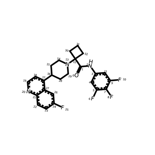 O=C(Nc1cc(F)c(F)c(F)c1)C1(N2CCC(c3ccnc4ccc(F)cc34)CC2)CCC1